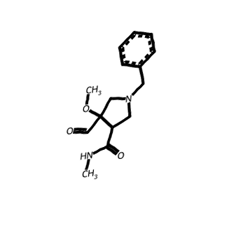 CNC(=O)C1CN(Cc2ccccc2)CC1(C=O)OC